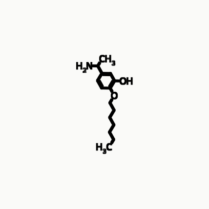 CCCCCCCOc1ccc(C(C)N)cc1O